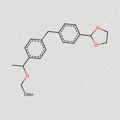 COCOC(C)c1ccc(Cc2ccc(C3OCCO3)cc2)cc1